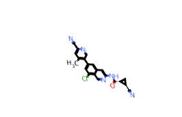 Cc1cc(C#N)ncc1-c1cc(Cl)c2cnc(NC(=O)[C@@H]3C[C@H]3C#N)cc2c1